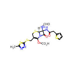 Cc1nnc(SCC2=C(OC(=O)O)N3C(=O)[C@@](NC=O)(NC(=O)Cc4cccs4)[C@@H]3SC2)s1